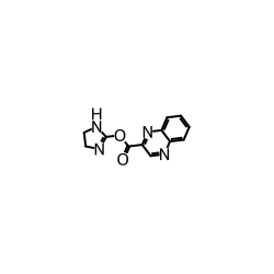 O=C(OC1=NCCN1)c1cnc2ccccc2n1